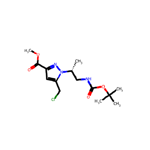 COC(=O)c1cc(CCl)n([C@H](C)CNC(=O)OC(C)(C)C)n1